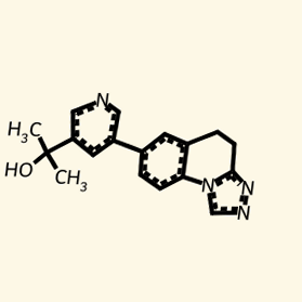 CC(C)(O)c1cncc(-c2ccc3c(c2)CCc2nncn2-3)c1